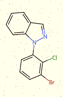 Clc1c(Br)cccc1-n1ncc2ccccc21